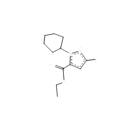 CCOC(=O)c1cc(C)nn1C1CCCCC1